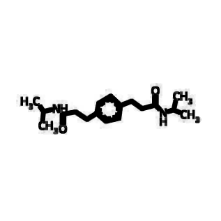 CC(C)NC(=O)CCc1ccc(CCC(=O)NC(C)C)cc1